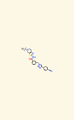 CN1CCc2nc(NC(=O)c3cccc(Cn4cc(C5C=CC(C#N)=CC5)nn4)c3)sc2C1